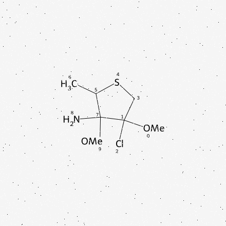 COC1(Cl)CSC(C)C1(N)OC